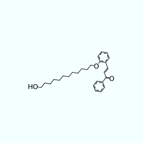 O=C(C=Cc1ccccc1OCCCCCCCCCCCCO)c1ccccc1